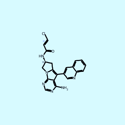 Nc1ncnc2c1c(-c1cnc3ccccc3c1)c1n2C[C@@H](NC(=O)/C=C/Cl)C1